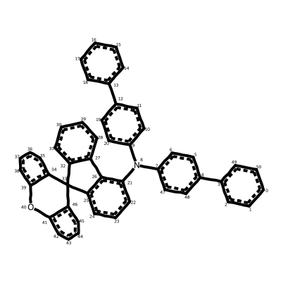 c1ccc(-c2ccc(N(c3ccc(-c4ccccc4)cc3)c3cccc4c3-c3ccccc3C43c4ccccc4Oc4ccccc43)cc2)cc1